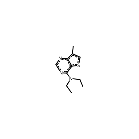 CCN(CC)c1ncnc2c(C)csc12